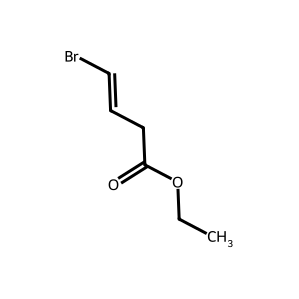 CCOC(=O)C/C=C/Br